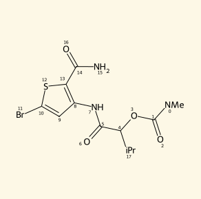 CNC(=O)OC(C(=O)Nc1cc(Br)sc1C(N)=O)C(C)C